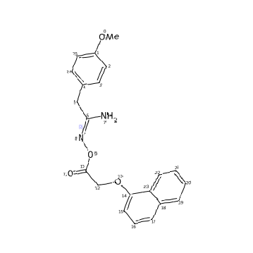 COc1ccc(C/C(N)=N/OC(=O)COc2cccc3ccccc23)cc1